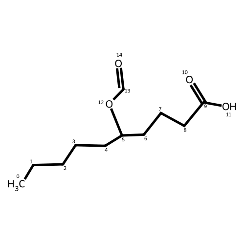 CCCCCC(CCCC(=O)O)OC=O